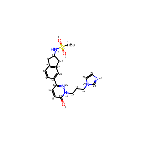 CCCCS(=O)(=O)NC1Cc2ccc(-c3ccc(=O)n(CCCn4ccnc4)n3)cc2C1